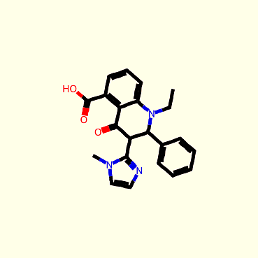 CCN1c2cccc(C(=O)O)c2C(=O)C(c2nccn2C)C1c1ccccc1